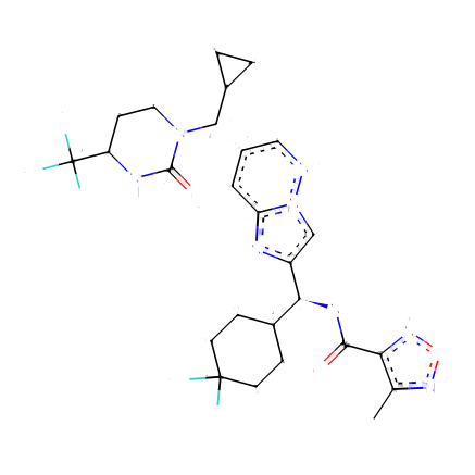 Cc1nonc1C(=O)N[C@H](c1cn2ncc([C@@H](C3CC3)N3CCC(C(F)(F)F)NC3=O)cc2n1)C1CCC(F)(F)CC1